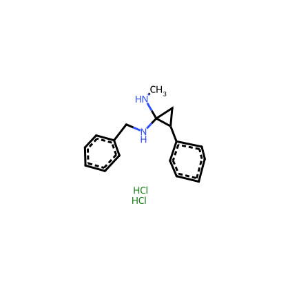 CNC1(NCc2ccccc2)CC1c1ccccc1.Cl.Cl